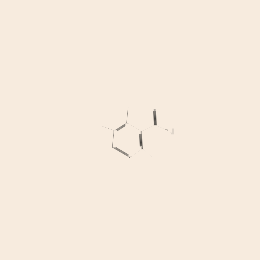 Cc1ccc(C(=O)O)c(C)c1C(N)=O